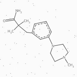 CN1CCN(c2cccc(CC(C)(C)C(N)=O)c2)CC1